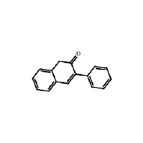 O=C1Cc2ccccc2C=C1c1ccccc1